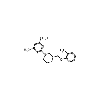 Cc1cc(C(=O)O)nc(N2CCC[C@H](COc3ccccc3C(F)(F)F)C2)n1